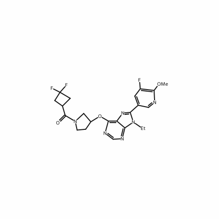 CCn1c(-c2cnc(OC)c(F)c2)nc2c(OC3CCN(C(=O)C4CC(F)(F)C4)C3)ncnc21